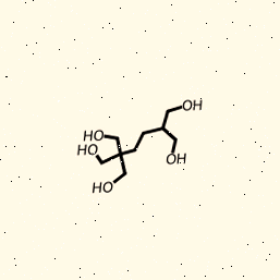 OCC(CO)CCC(CO)(CO)CO